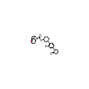 O=C1CCCN1c1ccc(N2CCCC(OC(=O)N3C4CC5CC3CC(C4)O5)C2)c(F)c1